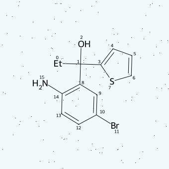 CCC(O)(c1cccs1)c1cc(Br)ccc1N